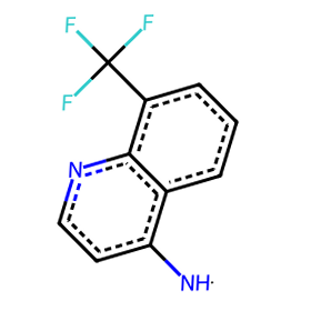 [NH]c1ccnc2c(C(F)(F)F)cccc12